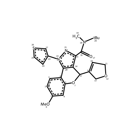 COc1ccc2c(c1)OC(C1=CCOC1)c1c(C(=O)N(C)C(C)(C)C)nn(-c3ccsc3)c1-2